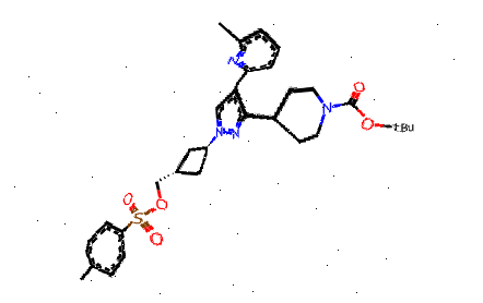 Cc1ccc(S(=O)(=O)OC[C@H]2C[C@H](n3cc(-c4cccc(C)n4)c(C4CCN(C(=O)OC(C)(C)C)CC4)n3)C2)cc1